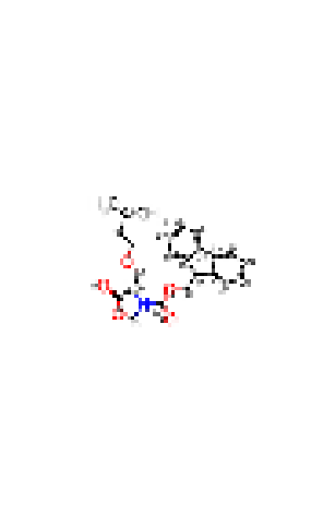 CC(C)CCOC[C@@H]1C(=O)OCN1C(=O)OCC1c2ccccc2-c2ccccc21